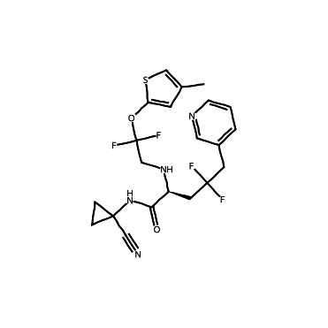 Cc1csc(OC(F)(F)CN[C@@H](CC(F)(F)Cc2cccnc2)C(=O)NC2(C#N)CC2)c1